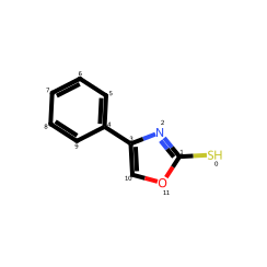 Sc1nc(-c2ccccc2)co1